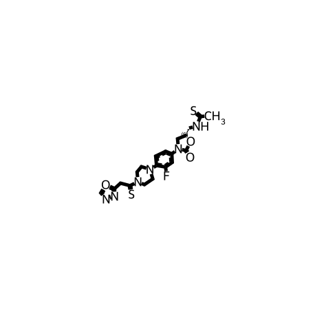 CC(=S)NC[C@H]1CN(c2ccc(N3CCN(C(=S)Cc4nnco4)CC3)c(F)c2)C(=O)O1